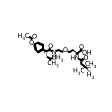 CC(=O)Oc1ccc([C@@H](CC(C)C)C(=O)NCCOCC[C@H](NC(=O)CC(C)(C)C)C(=O)O)cc1